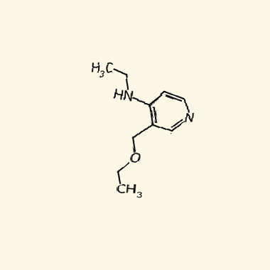 CCNc1ccn[c]c1COCC